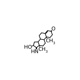 C[C@]12CCC(=O)C=C1CCC1C2CC[C@]2(C)C(=N)C(O)CC12